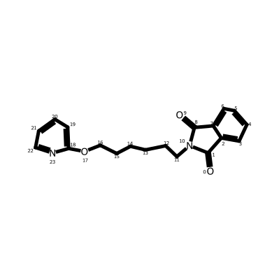 O=C1c2ccccc2C(=O)N1CCCCCCOc1ccccn1